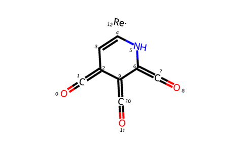 O=C=C1C=CNC(=C=O)C1=C=O.[Re]